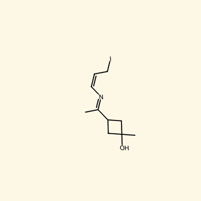 C/C(=N\C=C/CI)C1CC(C)(O)C1